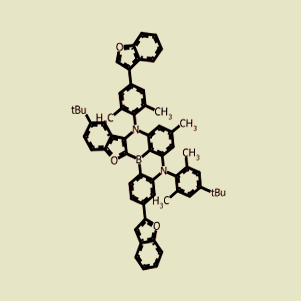 Cc1cc2c3c(c1)N(c1c(C)cc(-c4coc5ccccc45)cc1C)c1c(oc4ccc(C(C)(C)C)cc14)B3c1ccc(-c3cc4ccccc4o3)cc1N2c1c(C)cc(C(C)(C)C)cc1C